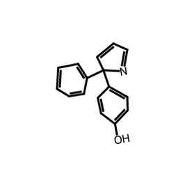 Oc1ccc(C2(c3ccccc3)C=CC=N2)cc1